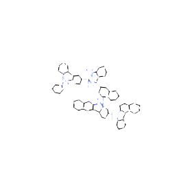 c1ccc(-n2c3ccccc3c3cc(-c4nc(-c5cc(-n6c7cc(-n8c9ccccc9c9c%10ccccc%10ccc98)ccc7c7cc8ccccc8cc76)c6ccccc6c5)c5ccccc5n4)ccc32)cc1